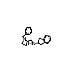 c1ccc(CN2CCC2CNC2Cc3ccccc3C2)cc1